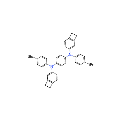 CC(C)c1ccc(N(c2ccc(N(c3ccc(C(C)(C)C)cc3)c3ccc4c(c3)CC4)cc2)c2ccc3c(c2)CC3)cc1